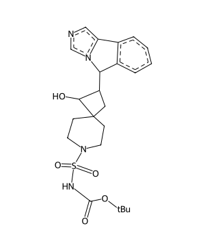 CC(C)(C)OC(=O)NS(=O)(=O)N1CCC2(CC1)CC(C1c3ccccc3-c3cncn31)C2O